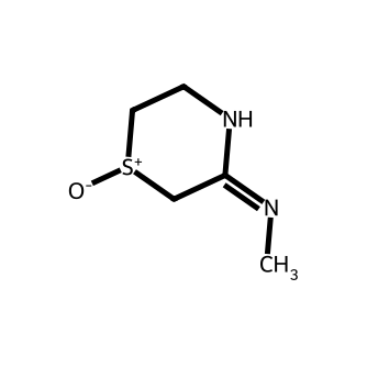 CN=C1C[S+]([O-])CCN1